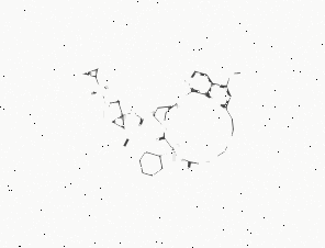 C=C[C@@H]1C[C@]1(NC(=O)[C@@H]1C[C@@H]2CN1C(=O)[C@H](C1CCCCC1)NC(=O)OCCCCCc1cc(OC)c3ccnc(c3c1)O2)C(=O)NS(=O)(=O)C1CC1